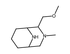 COCC1C2CCCC(CN1C)N2